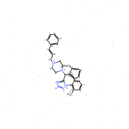 COc1ccccc1C(c1nnnn1-c1c(C)cccc1C)N1CCN(CC=Cc2ccccc2)CC1